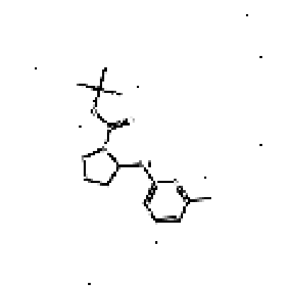 Cc1cccc(NC2CCCN2C(=O)OC(C)(C)C)n1